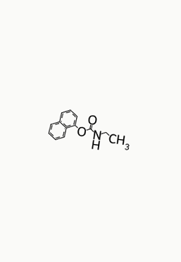 CCNC(=O)Oc1cccc2ccccc12